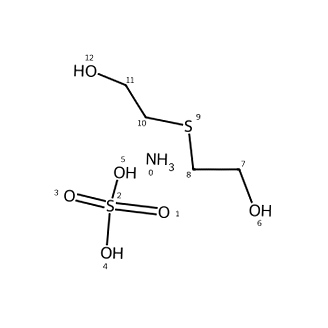 N.O=S(=O)(O)O.OCCSCCO